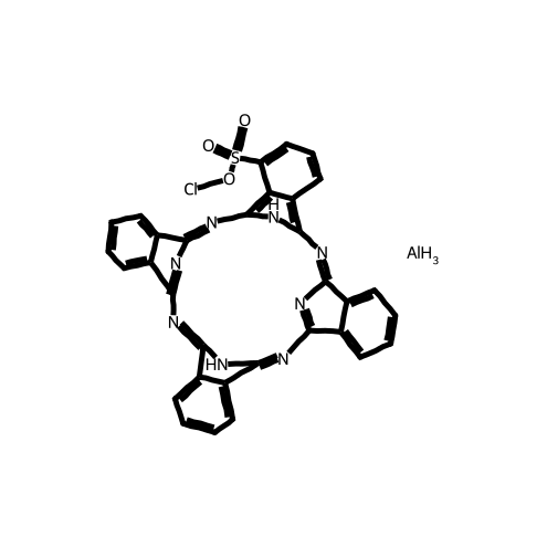 O=S(=O)(OCl)c1cccc2c3nc4nc(nc5[nH]c(nc6nc(nc([nH]3)c12)-c1ccccc1-6)c1ccccc51)-c1ccccc1-4.[AlH3]